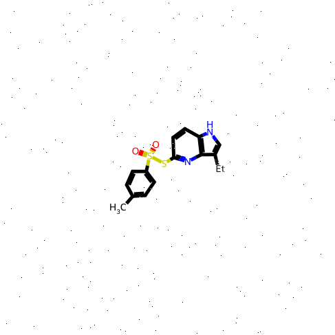 CCc1c[nH]c2ccc(SS(=O)(=O)c3ccc(C)cc3)nc12